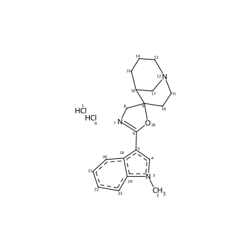 Cl.Cl.Cn1cc(C2=NCC3(CCN4CCCC3C4)O2)c2ccccc21